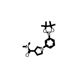 CN(C)C(=O)C1CCN(c2cccc(B3OC(C)(C)C(C)(C)O3)c2)C1